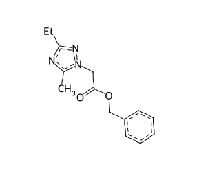 CCc1nc(C)n(CC(=O)OCc2ccccc2)n1